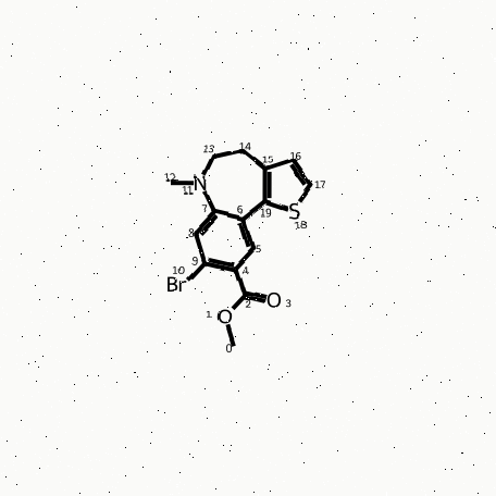 COC(=O)c1cc2c(cc1Br)N(C)CCc1ccsc1-2